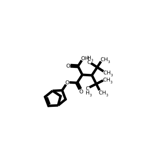 CC(C)(C)C(C(C(=O)O)C(=O)OC1CC2C=CC1C2)C(C)(C)C